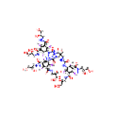 O=C(NCC(CO)(CNC(=O)Nc1c(I)c(C(=O)NCC(O)CO)c(I)c(C(=O)NCC(O)CO)c1I)CNC(=O)Nc1c(I)c(C(=O)NCC(O)CO)c(I)c(C(=O)NCC(O)CO)c1I)Nc1c(I)c(C(=O)NCC(O)CO)c(I)c(C(=O)NCC(O)CO)c1I